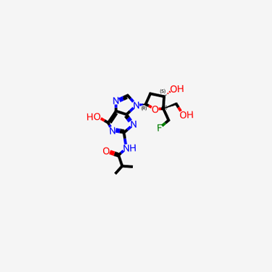 CC(C)C(=O)Nc1nc(O)c2ncn([C@H]3C[C@H](O)[C@](CO)(CF)O3)c2n1